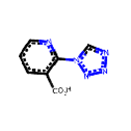 O=C(O)c1cccnc1-n1cnnn1